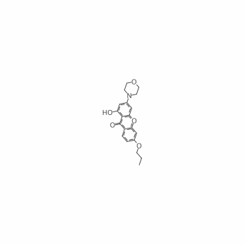 CCCOc1ccc2c(=O)c3c(O)cc(N4CCOCC4)cc3oc2c1